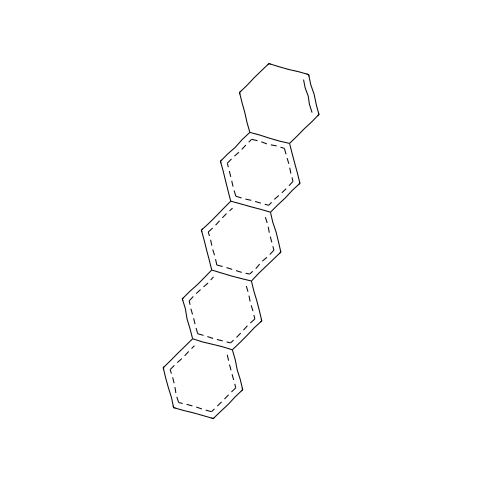 C1=Cc2cc3cc4cc5ccccc5cc4cc3cc2CC1